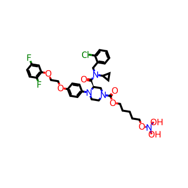 O=C(OCCCCCON(O)O)N1CCN(c2ccc(OCCOc3cc(F)ccc3F)cc2)[C@@H](C(=O)N(Cc2ccccc2Cl)C2CC2)C1